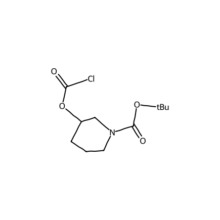 CC(C)(C)OC(=O)N1CCCC(OC(=O)Cl)C1